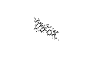 CCN(c1ccc(-c2n[nH]c(Nc3cncc(C(F)(F)F)n3)c2C(N)=O)cc1)S(=O)(=O)O